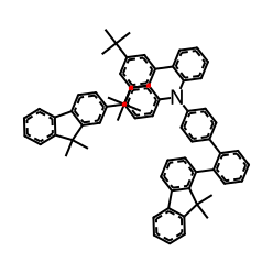 CC(C)(C)c1cc(-c2ccccc2N(c2ccc(-c3ccc4c(c3)C(C)(C)c3ccccc3-4)cc2)c2ccc(-c3ccccc3-c3cccc4c3C(C)(C)c3ccccc3-4)cc2)cc(C(C)(C)C)c1